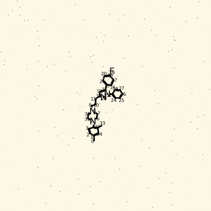 Cc1ccc(N2CCN(CCCc3cc(-c4ccc(F)cc4)n(-c4ccccc4)n3)CC2)c(C)c1